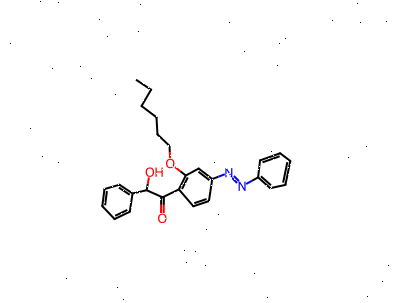 CCCCCCOc1cc(N=Nc2ccccc2)ccc1C(=O)C(O)c1ccccc1